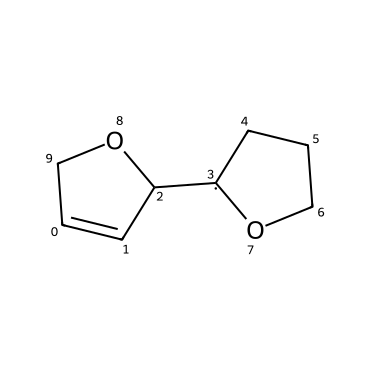 C1=CC([C]2CCCO2)OC1